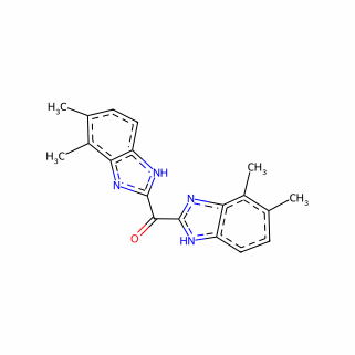 Cc1ccc2[nH]c(C(=O)c3nc4c(C)c(C)ccc4[nH]3)nc2c1C